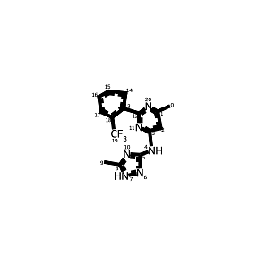 Cc1cc(Nc2n[nH]c(C)n2)nc(-c2ccccc2C(F)(F)F)n1